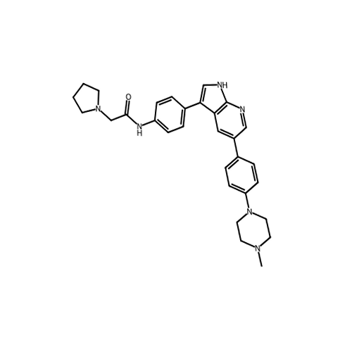 CN1CCN(c2ccc(-c3cnc4[nH]cc(-c5ccc(NC(=O)CN6CCCC6)cc5)c4c3)cc2)CC1